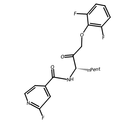 CCCCC[C@H](NC(=O)c1ccnc(F)c1)C(=O)COc1c(F)cccc1F